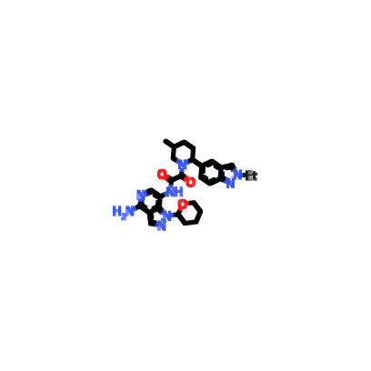 CCn1cc2cc(C3CCC(C)CN3C(=O)C(=O)Nc3cnc(N)c4cnn(C5CCCCO5)c34)ccc2n1